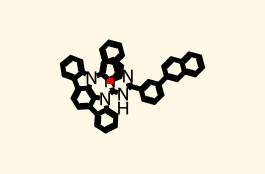 c1ccc(C2=NC(n3c4ccccc4c4ccc5c6ccccc6n(-c6ccccc6)c5c43)NC(c3cccc(-c4ccc5ccccc5c4)c3)=N2)cc1